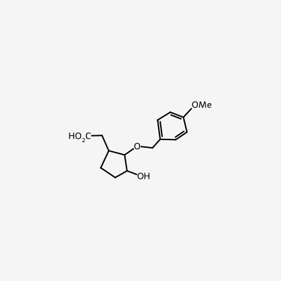 COc1ccc(COC2C(O)CCC2CC(=O)O)cc1